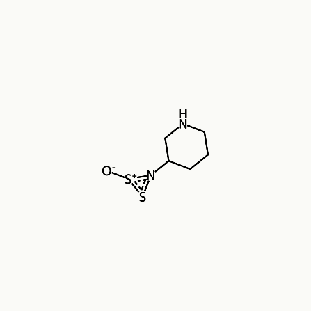 [O-][s+]1sn1C1CCCNC1